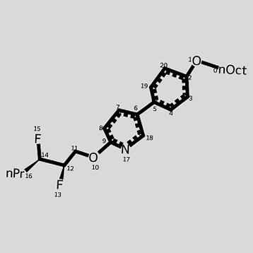 CCCCCCCCOc1ccc(-c2ccc(OC[C@@H](F)[C@H](F)CCC)nc2)cc1